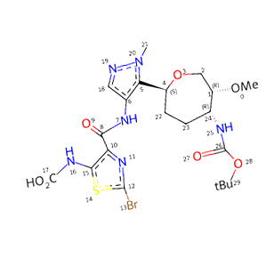 CO[C@H]1CO[C@H](c2c(NC(=O)c3nc(Br)sc3NC(=O)O)cnn2C)CC[C@H]1NC(=O)OC(C)(C)C